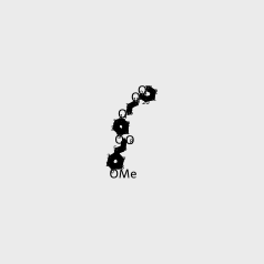 COc1ccc(C=CC(=O)Oc2ccc(OCCCOC3CCCCO3)cc2)cc1